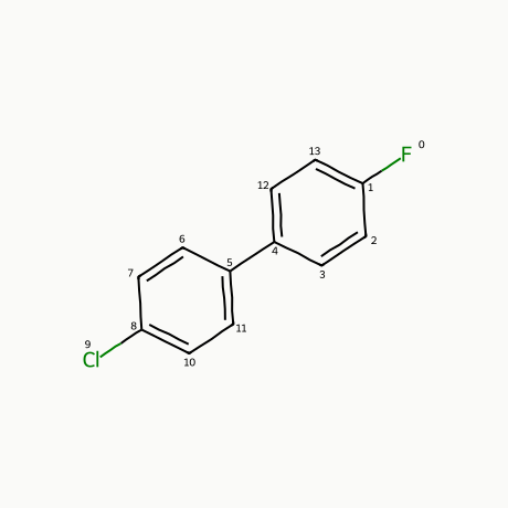 Fc1ccc(-c2ccc(Cl)cc2)cc1